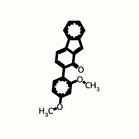 COc1ccc(C2=CC=C3C(=Cc4ccccc43)C2=O)c(OC)c1